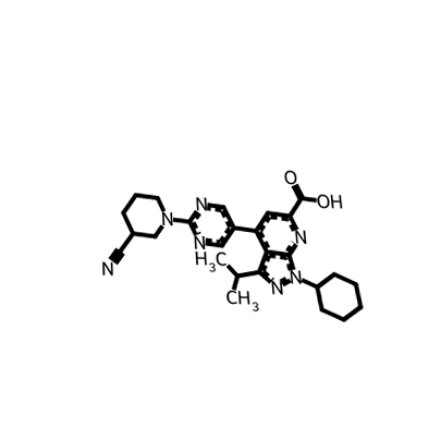 CC(C)c1nn(C2CCCCC2)c2nc(C(=O)O)cc(-c3cnc(N4CCCC(C#N)C4)nc3)c12